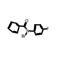 O=C(c1ccccc1)N(Br)c1ccc(F)cc1